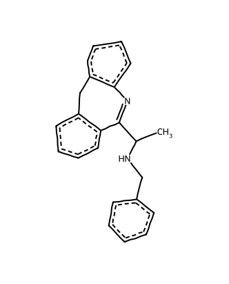 CC(NCc1ccccc1)C1=Nc2ccccc2Cc2ccccc21